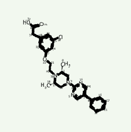 C[C@@H]1CN(c2ncc(-c3ccccc3)cn2)C[C@H](C)N1CCOc1cc(Cl)cc(CC(=O)O)c1